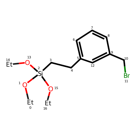 CCO[Si](CCc1cccc(CBr)c1)(OCC)OCC